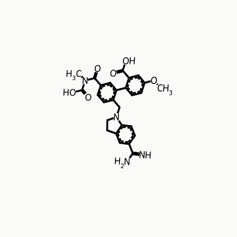 COc1ccc(-c2cc(C(=O)N(C)C(=O)O)ccc2CN2CCc3cc(C(=N)N)ccc32)c(C(=O)O)c1